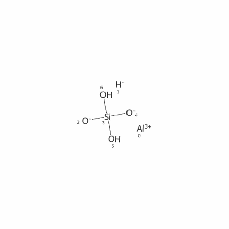 [Al+3].[H-].[O-][Si]([O-])(O)O